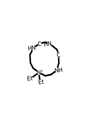 CC[N+]1(CC)CCCNCCNCCCNCC1